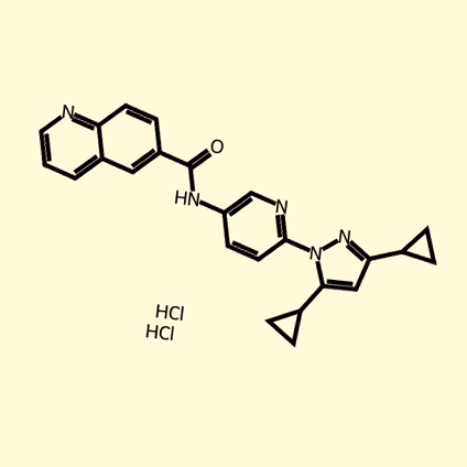 Cl.Cl.O=C(Nc1ccc(-n2nc(C3CC3)cc2C2CC2)nc1)c1ccc2ncccc2c1